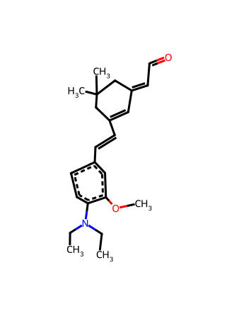 CCN(CC)c1ccc(/C=C/C2=CC(=C/C=O)/CC(C)(C)C2)cc1OC